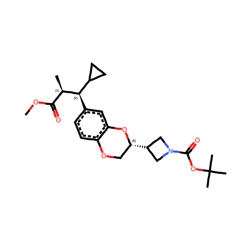 COC(=O)[C@@H](C)[C@H](c1ccc2c(c1)O[C@H](C1CN(C(=O)OC(C)(C)C)C1)CO2)C1CC1